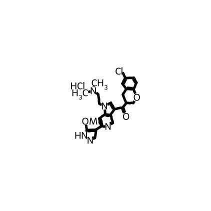 COc1[nH]ncc1-c1cc2c(cn1)c(C(=O)C1COc3ccc(Cl)cc3C1)cn2CCN(C)C.Cl